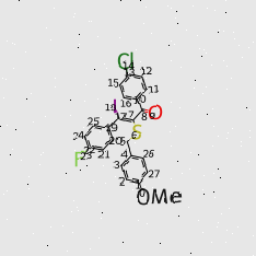 COc1ccc(CSC(C(=O)c2ccc(Cl)cc2)=C(I)c2ccc(F)cc2)cc1